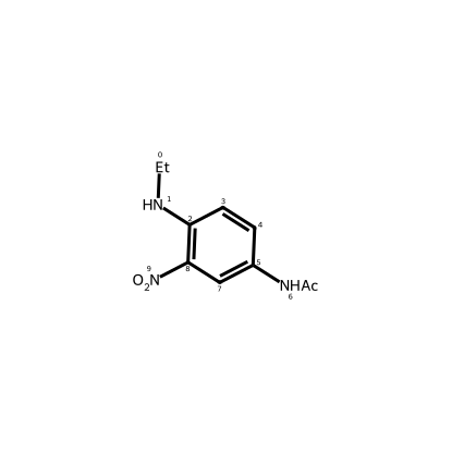 CCNc1ccc(NC(C)=O)cc1[N+](=O)[O-]